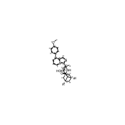 COc1ccc(-c2cccn3c(C(C)(C)NC(=O)C4[C@@H]5C[C@H]4CN(C(=O)O)C5)ncc23)cc1